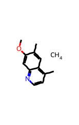 C.COc1cc2nccc(C)c2cc1C